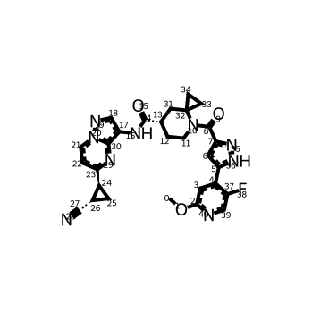 COc1cc(-c2cc(C(=O)N3CC[C@H](C(=O)Nc4cnn5ccc([C@H]6C[C@@H]6C#N)nc45)CC34CC4)n[nH]2)c(F)cn1